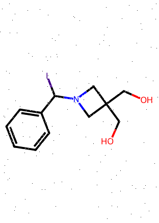 OCC1(CO)CN(C(I)c2ccccc2)C1